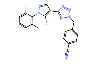 Cc1cccc(C)c1-n1ncc(-c2nnn(Cc3ccc(C#N)cc3)n2)c1Cl